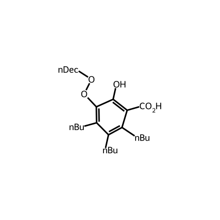 CCCCCCCCCCOOc1c(O)c(C(=O)O)c(CCCC)c(CCCC)c1CCCC